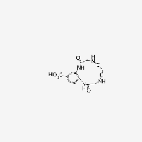 O=C1CNCCCNCC(=O)Nc2cc(C(=O)O)ccc2N1